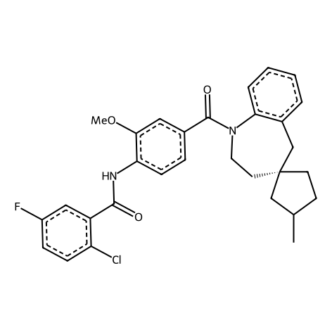 COc1cc(C(=O)N2CC[C@@]3(CCC(C)C3)Cc3ccccc32)ccc1NC(=O)c1cc(F)ccc1Cl